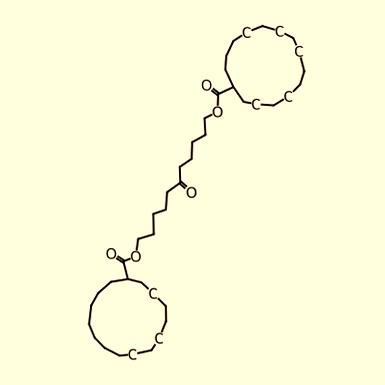 O=C(CCCCCOC(=O)C1CCCCCCCCCCCCCC1)CCCCCOC(=O)C1CCCCCCCCCCCCCC1